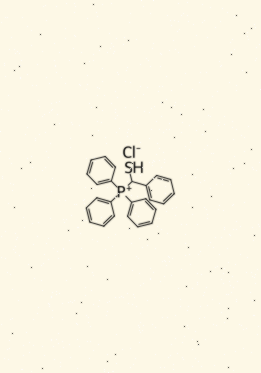 SC(c1ccccc1)[P+](c1ccccc1)(c1ccccc1)c1ccccc1.[Cl-]